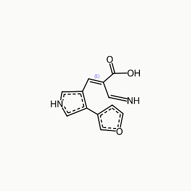 N=C/C(=C\c1c[nH]cc1-c1ccoc1)C(=O)O